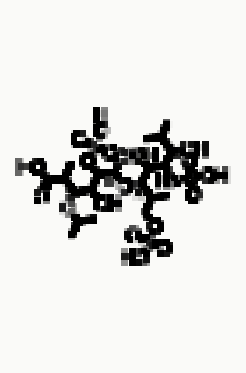 CC(C)O[C@H](C(C)C(=O)O)C(O)C(OS(=O)(=O)O)[C@@H](O)O[C@H](C(C)COS(=O)(=O)O)C(O)C(NS(=O)(=O)O)[C@H](O)C(C)C